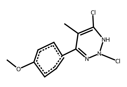 COc1ccc(C2=NN(Cl)NC(Cl)=C2C)cc1